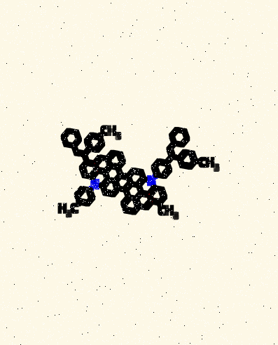 Cc1ccc(C(=CC2CCCCC2)c2ccc(N(c3ccc(C)cc3)c3ccc4c5c6cccc7cccc(c8c(N(c9ccc(C)cc9)c9ccc(C(=CC%10CCCCC%10)c%10ccc(C)cc%10)cc9)ccc(c9c%10cccc%11cccc(c3c49)c%11%10)c85)c76)cc2)cc1